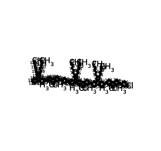 CCCCCCCCC1(CCCCCCC)c2cc(-c3ccc4c(c3)C(C)(C)c3cc(-c5ccc(Cl)cc5)ccc3-4)ccc2-c2ccc(-c3ccc4c(c3)C(C)(C)c3cc5c(cc3-4)C(CCCCCCCC)(CCCCCCCC)c3cc(-c4ccc(-c6ccc7c(c6)C(C)(C)c6cc(-c8ccc9c(c8)C(CCCCCCCC)(CCCCCCCC)c8ccccc8-9)ccc6-7)cc4)ccc3-5)cc21